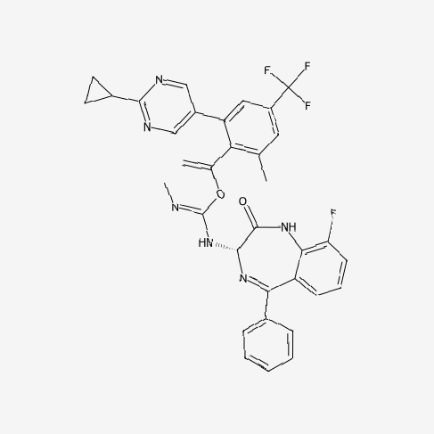 C=C(O/C(=N\C)N[C@H]1N=C(c2ccccc2)c2cccc(F)c2NC1=O)c1c(C)cc(C(F)(F)F)cc1-c1cnc(C2CC2)nc1